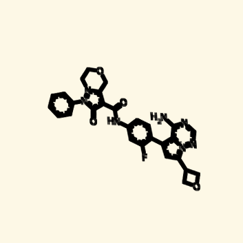 Nc1ncnn2c(C3COC3)cc(-c3ccc(NC(=O)c4c5n(n(-c6ccccc6)c4=O)CCOC5)cc3F)c12